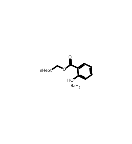 CCCCCCCCOC(=O)c1ccccc1O.[BaH2]